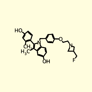 Cc1cc(O)ccc1-c1c(C)c2cc(O)ccc2n1Cc1ccc(OCCN2CC(CF)C2)cc1